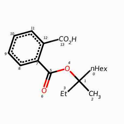 CCCCCCC(C)(CC)OC(=O)c1ccccc1C(=O)O